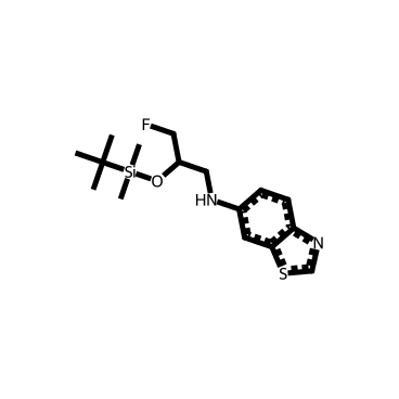 CC(C)(C)[Si](C)(C)OC(CF)CNc1ccc2ncsc2c1